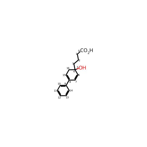 O=C(O)CCCC1(O)C=CC(c2ccccc2)=CC1